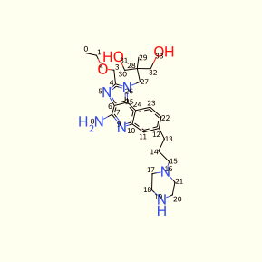 CCOCc1nc2c(N)nc3cc(CCCN4CCNCC4)ccc3c2n1CC(C)(CO)CO